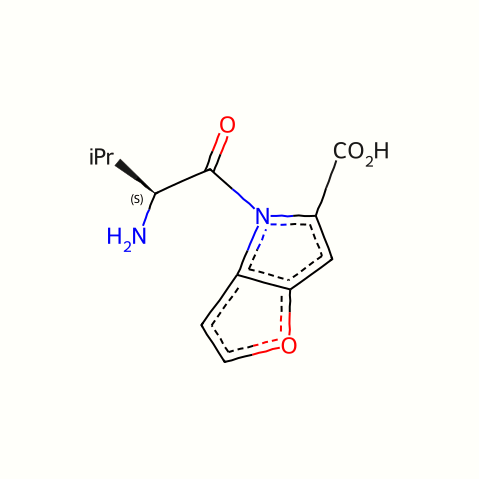 CC(C)[C@H](N)C(=O)n1c(C(=O)O)cc2occc21